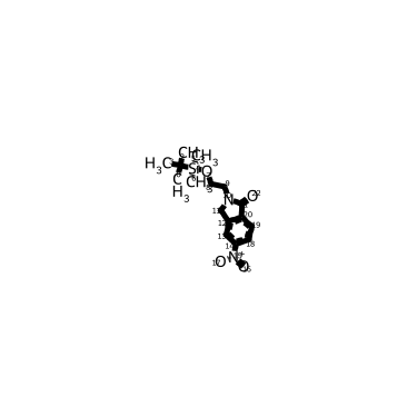 CC(C)(C)[Si](C)(C)OCCN1Cc2cc([N+](=O)[O-])ccc2C1=O